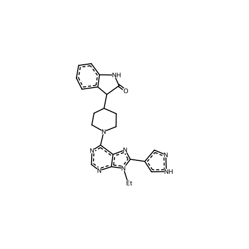 CCn1c(-c2cn[nH]c2)nc2c(N3CCC(C4C(=O)Nc5ccccc54)CC3)ncnc21